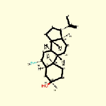 C=C(C)[C@H]1CC[C@H]2[C@@H]3C[C@@H](F)[C@@H]4C[C@](C)(O)CC[C@@H]4[C@H]3CC[C@]12C